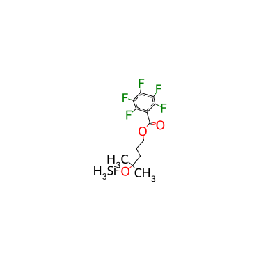 CC(C)(CCCOC(=O)c1c(F)c(F)c(F)c(F)c1F)O[SiH3]